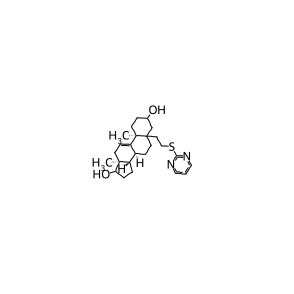 C[C@]12CC=C3[C@@H](CCC4(CCSc5ncccn5)CC(O)CC[C@]34C)[C@@H]1CCC2O